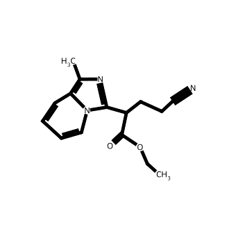 CCOC(=O)C(CCC#N)c1nc(C)c2ccccn12